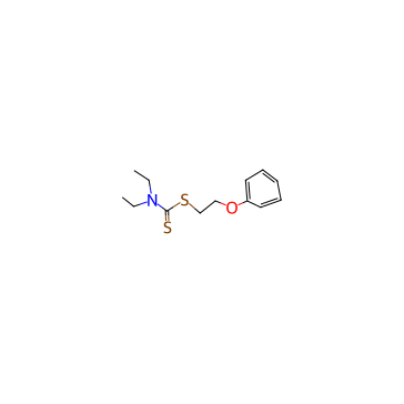 CCN(CC)C(=S)SCCOc1ccccc1